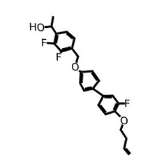 C=CCCOc1ccc(-c2ccc(OCc3ccc(C(C)O)c(F)c3F)cc2)cc1F